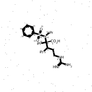 CC(C)C(CCNC(=N)N)[C@](C(=O)O)(C(C)C)N(C(C)C)S(=O)(=O)c1ccccc1